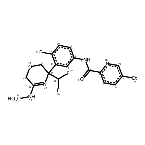 CCc1ccc(C(=O)Nc2ccc(F)c(C3(C(F)F)COCC(NC(=O)O)=N3)c2)nc1